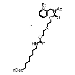 CCCCCCCCCCCCCCCCCNC(=O)OCCSCCOC(=O)N(Cc1cccc[n+]1CC)C(C)=O.[I-]